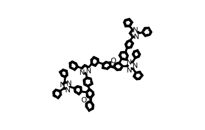 c1ccc(-c2cc(-c3ccc(-c4ccc(-c5c(-c6nc(-c7ccccc7)nc(-c7ccccc7)n6)ccc6c5oc5cc(-c7cccc(-c8cc(-c9ccccc9)nc(-c9ccc(-c%10ccc%11c(oc%12ccccc%12%11)c%10-c%10ccc(-c%11nc(-c%12ccccc%12)nc(-c%12ccccc%12)n%11)cc%10)cc9)n8)c7)ccc56)cc4)cc3)nc(-c3ccccc3)n2)cc1